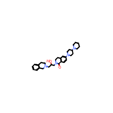 O=C1c2ccc(N3CCC(N4CCCCC4)CC3)cc2CCN1CC(O)CN1CCc2ccccc2C1